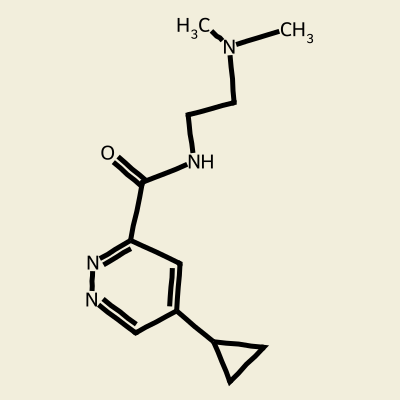 CN(C)CCNC(=O)c1cc(C2CC2)cnn1